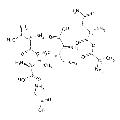 CC(C)[C@H](N)C(=O)O[C@H](C)[C@H](N)C(=O)O.CC[C@H](C)[C@H](N)C(=O)O.C[C@H](N)C(=O)OC(=O)[C@@H](N)CC(N)=O.NCC(=O)O